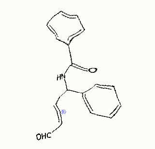 O=C/C=C/C(NC(=O)c1ccccc1)c1ccccc1